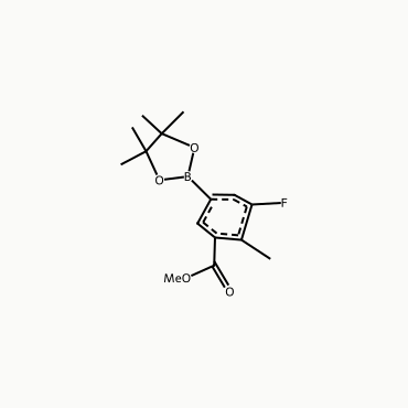 COC(=O)c1cc(B2OC(C)(C)C(C)(C)O2)cc(F)c1C